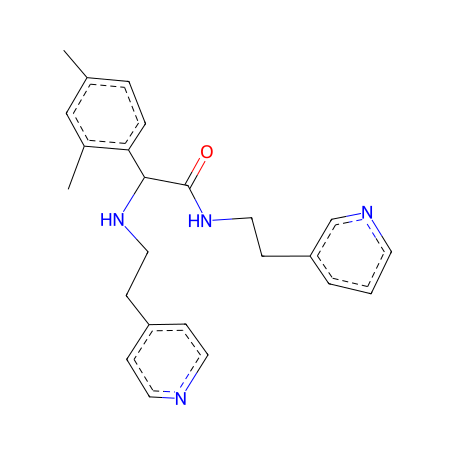 Cc1ccc(C(NCCc2ccncc2)C(=O)NCCc2cccnc2)c(C)c1